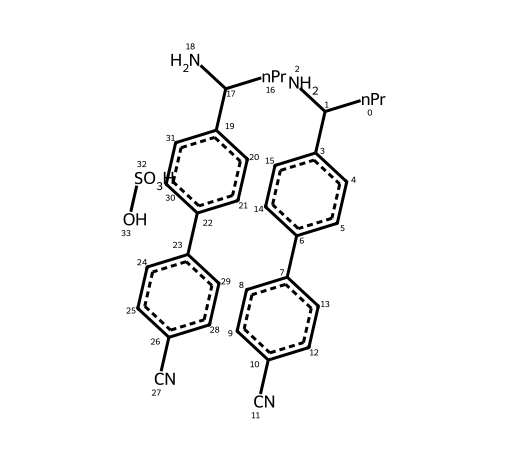 CCCC(N)c1ccc(-c2ccc(C#N)cc2)cc1.CCCC(N)c1ccc(-c2ccc(C#N)cc2)cc1.O=S(=O)(O)O